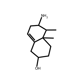 CC1C(N)CC=C2CC(O)CCC21C